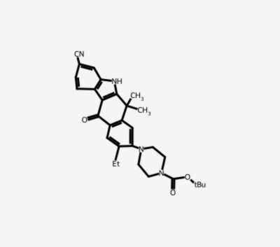 CCc1cc2c(cc1N1CCN(C(=O)OC(C)(C)C)CC1)C(C)(C)c1[nH]c3cc(C#N)ccc3c1C2=O